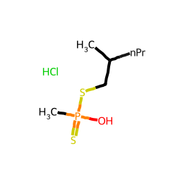 CCCC(C)CSP(C)(O)=S.Cl